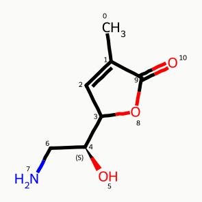 CC1=CC([C@@H](O)CN)OC1=O